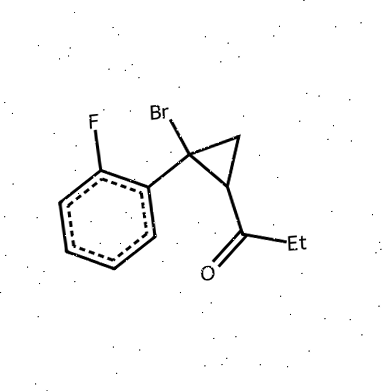 CCC(=O)C1CC1(Br)c1ccccc1F